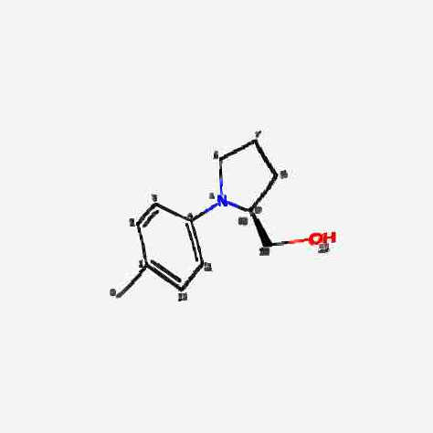 Cc1ccc(N2CCC[C@H]2CO)cc1